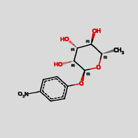 C[C@@H]1O[C@@H](Oc2ccc([N+](=O)[O-])cc2)[C@H](O)[C@H](O)[C@H]1O